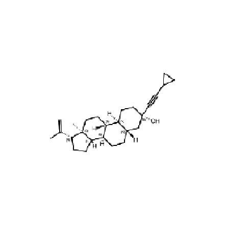 C=C(C)[C@H]1CC[C@H]2[C@@H]3CC[C@H]4C[C@](O)(C#CC5CC5)CC[C@@H]4[C@H]3CC[C@]12C